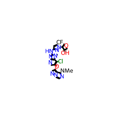 CNc1nccn2ncc(Oc3cnc4nc(Nc5cc(C(F)(F)F)n([C@H]6COC[C@H]6O)n5)n(C)c4c3Cl)c12